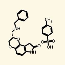 Cc1ccc(S(=O)(=O)O)cc1.O=C1Cc2c(ccc3c2O[C@@H](CNCc2ccccc2)CO3)N1